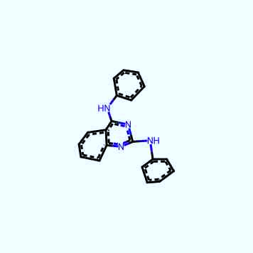 c1ccc(Nc2nc(Nc3ccccc3)c3ccccc3n2)cc1